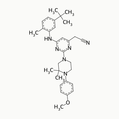 COc1ccc(N2CCN(c3nc(CC#N)cc(Nc4cc(C(C)(C)C)ccc4C)n3)CC2(C)C)cc1